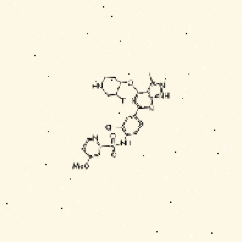 COc1ccnc(S(=O)(=O)Nc2ccc(-c3nc(O[C@@H]4CCNC[C@@H]4F)c4c(C)n[nH]c4n3)cc2Cl)c1